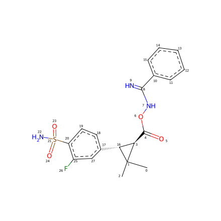 CC1(C)[C@H](C(=O)ONC(=N)c2ccccc2)[C@H]1c1ccc(S(N)(=O)=O)c(F)c1